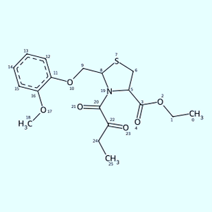 CCOC(=O)C1CSC(COc2ccccc2OC)N1C(=O)C(=O)CC